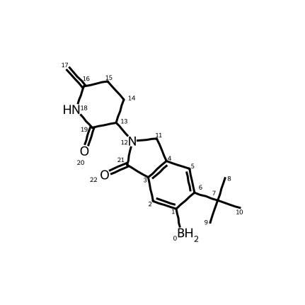 Bc1cc2c(cc1C(C)(C)C)CN(C1CCC(=C)NC1=O)C2=O